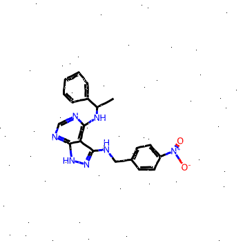 CC(Nc1ncnc2[nH]nc(NCc3ccc([N+](=O)[O-])cc3)c12)c1ccccc1